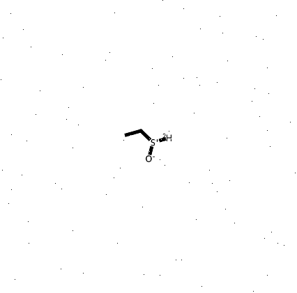 [2H][S+]([O-])CC